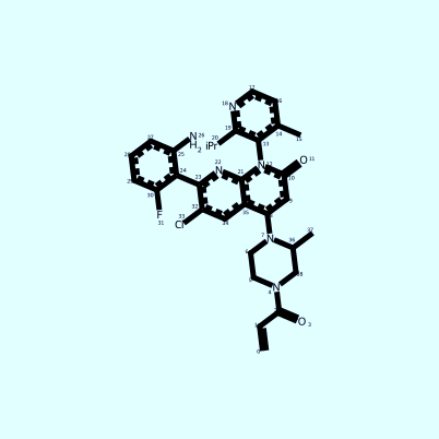 C=CC(=O)N1CCN(c2cc(=O)n(-c3c(C)ccnc3C(C)C)c3nc(-c4c(N)cccc4F)c(Cl)cc23)C(C)C1